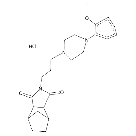 COc1ccccc1N1CCN(CCCN2C(=O)C3C4CCC(C4)C3C2=O)CC1.Cl